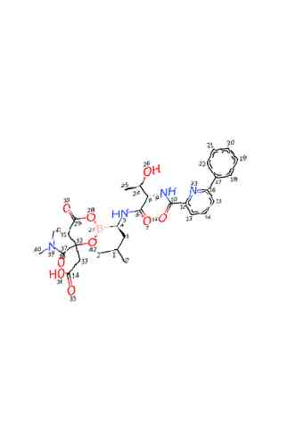 CC(C)C[C@H](NC(=O)[C@@H](NC(=O)c1cccc(-c2ccccc2)n1)[C@@H](C)O)B1OC(=O)CC(CC(=O)O)(C(=O)N(C)C)O1